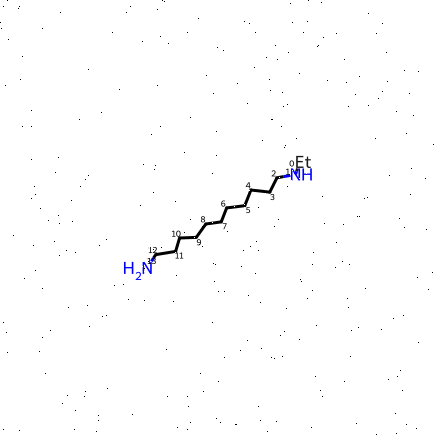 CCNCCCCCCCCCCCN